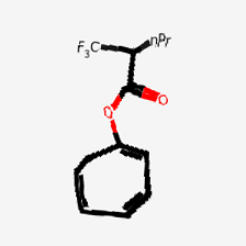 CCCC(C(=O)Oc1ccccc1)C(F)(F)F